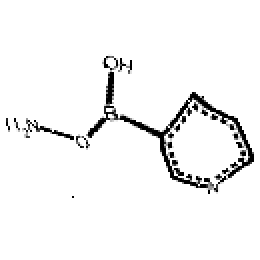 NOB(O)c1cccnc1